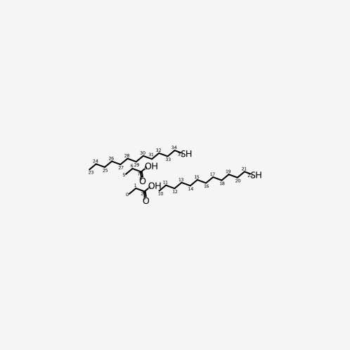 CCC(=O)O.CCC(=O)O.CCCCCCCCCCCCS.CCCCCCCCCCCCS